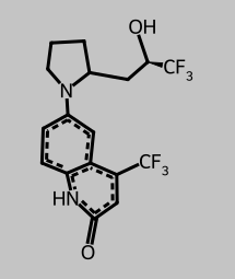 O=c1cc(C(F)(F)F)c2cc(N3CCCC3C[C@@H](O)C(F)(F)F)ccc2[nH]1